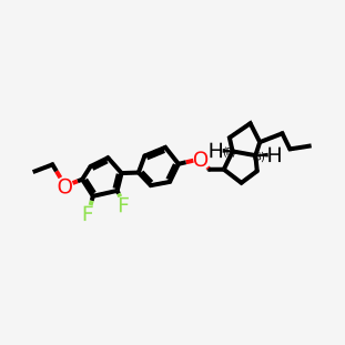 CCCC1CC[C@H]2C(COc3ccc(-c4ccc(OCC)c(F)c4F)cc3)CC[C@@H]12